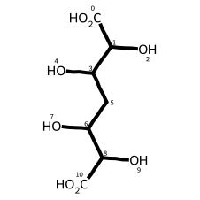 O=C(O)C(O)C(O)CC(O)C(O)C(=O)O